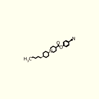 CCCCC[C@H]1CC[C@H](N2CCC(C(=O)Oc3ccc(C#N)cc3)CC2)CC1